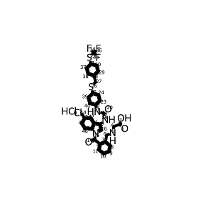 Cl.O=C(O)CNCc1ccccc1C(=O)n1cc(NC(=O)Nc2ccc(SCc3ccc(SC(F)(F)F)cc3)cc2)c2cc(Cl)ccc21